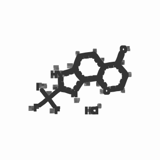 Cl.O=c1ccoc2c1ccc1[nH]c(C(F)(F)F)nc12